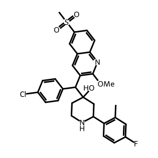 COc1nc2ccc(S(C)(=O)=O)cc2cc1C(c1ccc(Cl)cc1)C1(O)CCNC(c2ccc(F)cc2C)C1